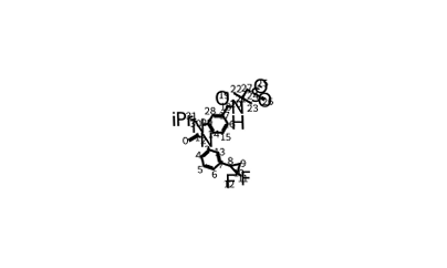 C=C1N(c2cccc(C3CC3(F)F)c2)c2ccc(C(=O)NC3(C)CS(=O)(=O)C3)cc2N1C(C)C